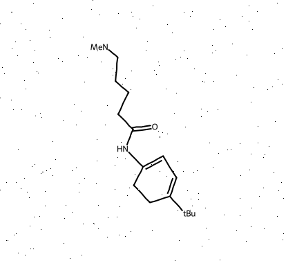 CNCCCCC(=O)NC1=CC=C(C(C)(C)C)CC1